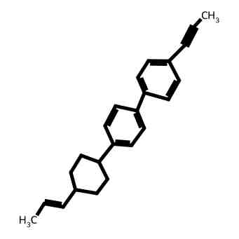 CC#Cc1ccc(-c2ccc(C3CCC(C=CC)CC3)cc2)cc1